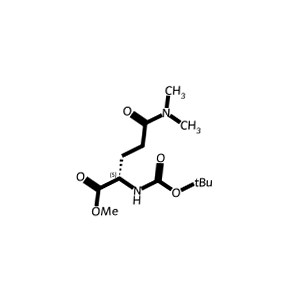 COC(=O)[C@H](CCC(=O)N(C)C)NC(=O)OC(C)(C)C